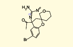 C=N/C(N)=N\C1(C(C)=O)CC2(CCCOC2)Oc2ccc(Br)cc21